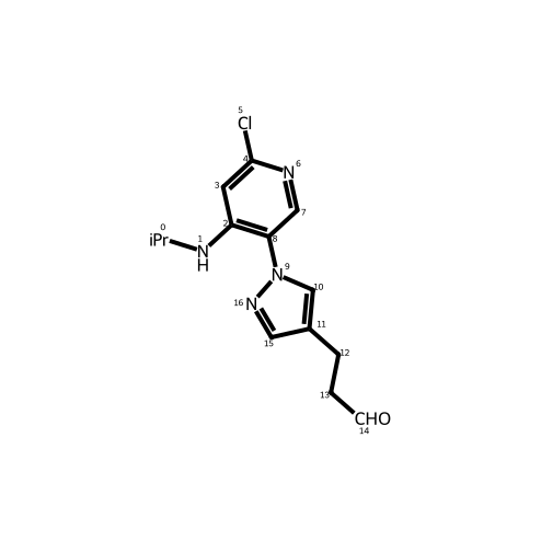 CC(C)Nc1cc(Cl)ncc1-n1cc(CCC=O)cn1